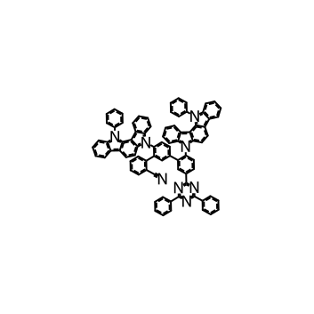 N#Cc1ccccc1-c1cc(-c2cc(-c3nc(-c4ccccc4)nc(-c4ccccc4)n3)ccc2-n2c3ccccc3c3c2ccc2c4ccccc4n(-c4ccccc4)c23)ccc1-n1c2ccccc2c2c1ccc1c3ccccc3n(-c3ccccc3)c12